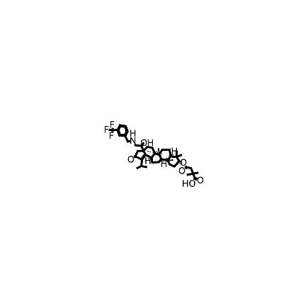 CC(C)C1=C2[C@H]3CC[C@@H]4[C@@]5(C)CC[C@H](OC(=O)CC(C)(C)C(=O)O)C(C)(C)[C@@H]5CC[C@@]4(C)[C@]3(C)CCC2(C(O)CNCc2cccc(C(F)(F)F)c2)CC1=O